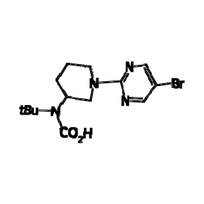 CC(C)(C)N(C(=O)O)C1CCCN(c2ncc(Br)cn2)C1